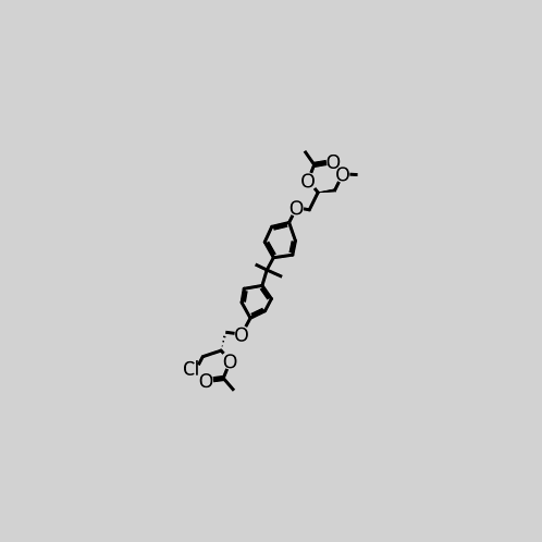 COC[C@@H](COc1ccc(C(C)(C)c2ccc(OC[C@@H](CCl)OC(C)=O)cc2)cc1)OC(C)=O